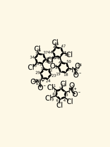 O=[N+]([O-])c1c(Cl)c(Cl)c(Cl)c(Cl)c1Cl.O=[N+]([O-])c1ccc(Oc2ccc([N+](=O)[O-])cc2-c2c(Cl)cc(Cl)cc2Cl)c(-c2c(Cl)cc(Cl)cc2Cl)c1